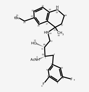 CC(=O)N[C@@H](Cc1cc(F)cc(F)c1)[C@H](O)CNC1(C)CCNc2ccc(CC(C)(C)C)cc21